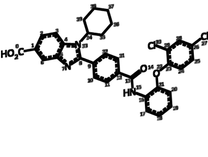 O=C(O)c1ccc2c(c1)nc(-c1ccc(C(=O)Nc3ccccc3Oc3ccc(Cl)cc3Cl)cc1)n2C1CCCCC1